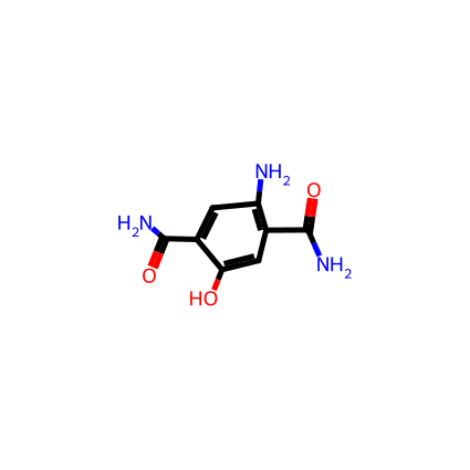 NC(=O)c1cc(O)c(C(N)=O)cc1N